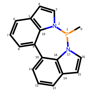 Cp1n2ccc3cccc(c4cccc5ccn1c54)c32